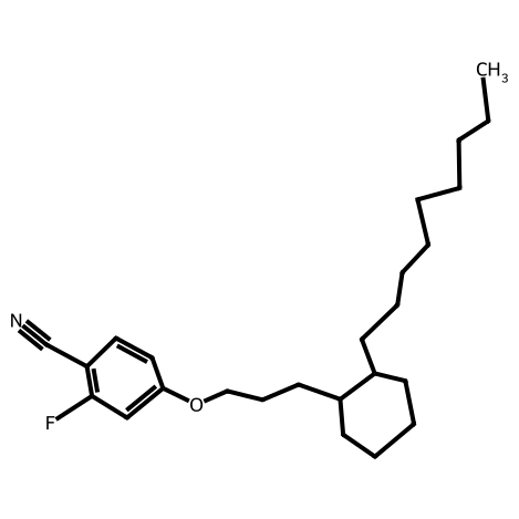 CCCCCCCCCC1CCCCC1CCCOc1ccc(C#N)c(F)c1